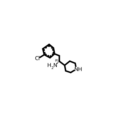 N[C@H](Cc1cccc(Cl)c1)C1CCNCC1